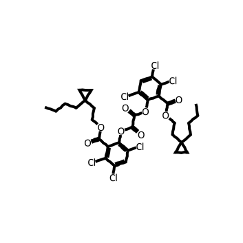 CCCCC1(CCOC(=O)c2c(Cl)c(Cl)cc(Cl)c2OC(=O)C(=O)Oc2c(Cl)cc(Cl)c(Cl)c2C(=O)OCCC2(CCCC)CC2)CC1